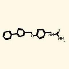 NC(=S)NCc1ccc(OCc2ccc(-c3ccccc3)cc2)cc1